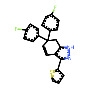 Fc1ccc(C2(c3ccc(F)cc3)C=Cc3c(-c4cccs4)n[nH]c3C2)cc1